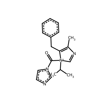 CC1=C(Cc2ccccc2)[N+](C(=O)n2ccnc2)(C(C)C)C=N1